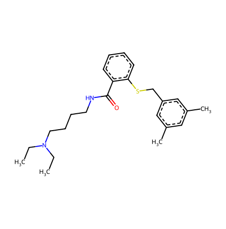 CCN(CC)CCCCNC(=O)c1ccccc1SCc1cc(C)cc(C)c1